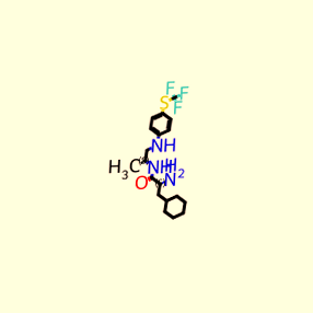 C[C@@H](CNc1ccc(SC(F)(F)F)cc1)NC(=O)[C@@H](N)CC1CCCCC1